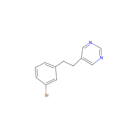 Brc1cccc(CCc2cncnc2)c1